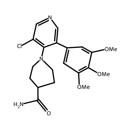 COc1cc(-c2cncc(Cl)c2N2CCC(C(N)=O)CC2)cc(OC)c1OC